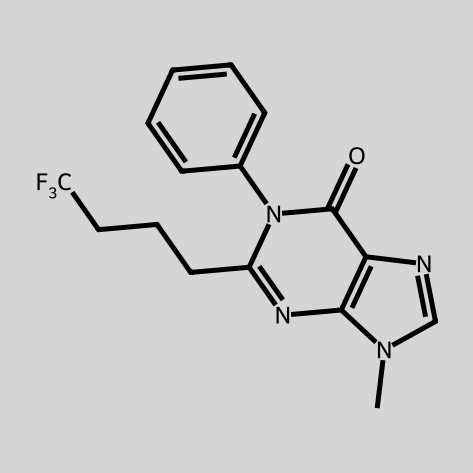 Cn1cnc2c(=O)n(-c3ccccc3)c(CCCC(F)(F)F)nc21